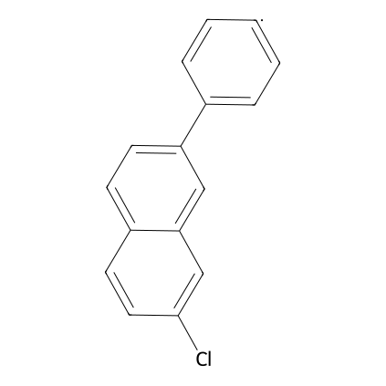 Clc1ccc2ccc(-c3cc[c]cc3)cc2c1